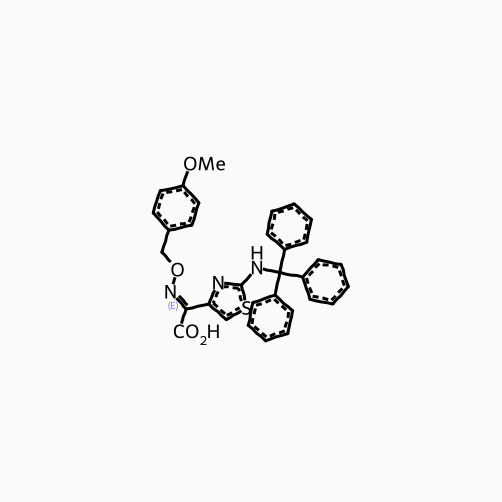 COc1ccc(CO/N=C(/C(=O)O)c2csc(NC(c3ccccc3)(c3ccccc3)c3ccccc3)n2)cc1